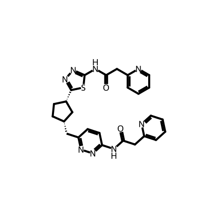 O=C(Cc1ccccn1)Nc1ccc(C[C@@H]2CC[C@H](c3nnc(NC(=O)Cc4ccccn4)s3)C2)nn1